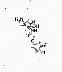 NC12CCC(NC(=O)COc3ccc(Cl)c(F)c3)(CC1)[C@@H](O)C2